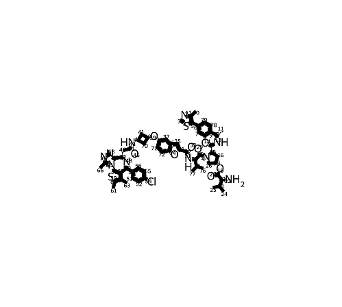 Cc1ncsc1-c1ccc([C@H](C)NC(=O)[C@@H]2C[C@@H](OC(=O)[C@@H](N)C(C)C)CN2C(=O)[C@@H](NC(=O)c2cc3cc(O[C@H]4C[C@@H](NC(=O)C[C@@H]5N=C(c6ccc(Cl)cc6)c6c(sc(C)c6C)-n6c(C)nnc65)C4)ccc3o2)C(C)C)cc1